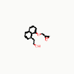 OCCc1cccc2cccc(OCC3CO3)c12